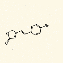 O=C1C=C(C=Cc2ccc(Br)cc2)CO1